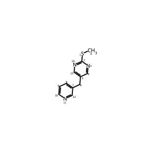 CSc1ncc(Cc2cccnc2)cn1